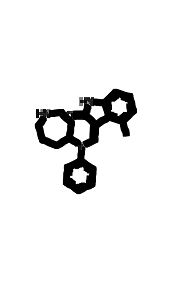 Cc1cccc2c1/C(=C/N(c1ccccc1)C1CCCNCC1)C(=O)N2